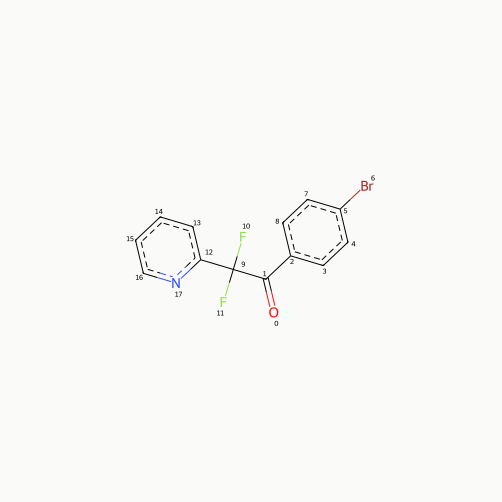 O=C(c1ccc(Br)cc1)C(F)(F)c1ccccn1